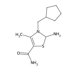 CC1=C(C(N)=O)SC(N)N1CC1CCCC1